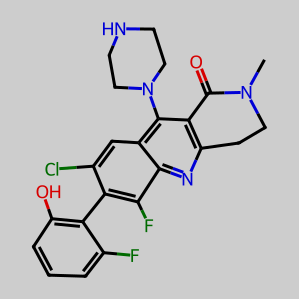 CN1CCc2nc3c(F)c(-c4c(O)cccc4F)c(Cl)cc3c(N3CCNCC3)c2C1=O